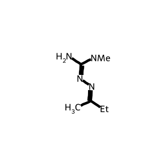 CC/C(C)=N/N=C(/N)NC